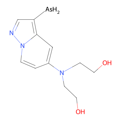 OCCN(CCO)c1ccn2ncc([AsH2])c2c1